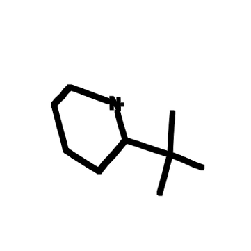 CC(C)(C)C1CCCC[N]1